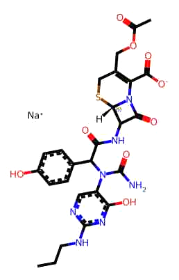 CCCNc1ncc(N(C(N)=O)C(C(=O)NC2C(=O)N3C(C(=O)[O-])=C(COC(C)=O)CS[C@@H]23)c2ccc(O)cc2)c(O)n1.[Na+]